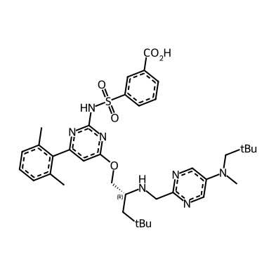 Cc1cccc(C)c1-c1cc(OC[C@@H](CC(C)(C)C)NCc2ncc(N(C)CC(C)(C)C)cn2)nc(NS(=O)(=O)c2cccc(C(=O)O)c2)n1